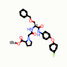 CC(C)(C)OC(=O)C1CCCN1CC(=O)N[C@@H](COCc1ccccc1)C(=O)Nc1ccc(Oc2ccc(F)cc2)cc1